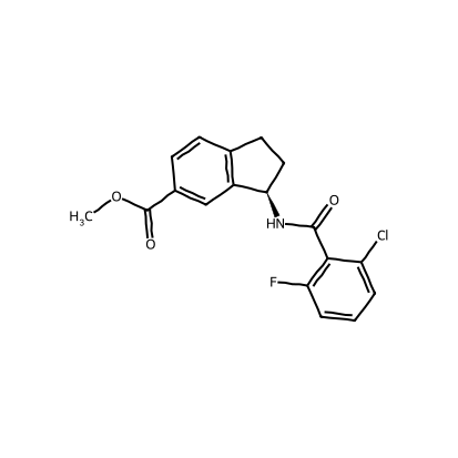 COC(=O)c1ccc2c(c1)[C@H](NC(=O)c1c(F)cccc1Cl)CC2